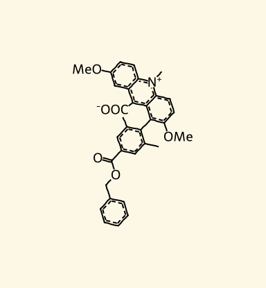 COc1ccc2c(c1)c(C(=O)[O-])c1c(-c3c(C)cc(C(=O)OCc4ccccc4)cc3C)c(OC)ccc1[n+]2C